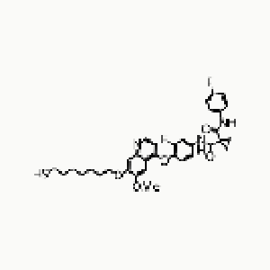 COc1cc2c(Oc3ccc(NC(=O)C4(C(=O)Nc5ccc(F)cc5)CC4)cc3F)ccnc2cc1OCCCCCCCS